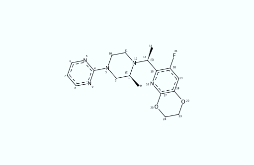 C[C@H]1CN(c2ncccn2)CCN1[C@@H](C)c1nc2c(cc1F)OCCO2